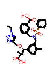 CCn1cc(CO[C@H](c2ccc(C)c(CN(Cc3cccc(C(=O)O)c3)S(=O)(=O)c3ccccc3)c2)C(C)(C)C(=O)O)nn1